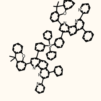 CC1(C)c2ccccc2Oc2c(-c3cc(-c4cccc([Si](c5ccccc5)(c5ccccc5)c5cccc(-c6cc(-c7cccc8c7Oc7ccccc7C8(C)C)nc7c6ccc6c(-c8ccccc8)cc(-c8ccccn8)nc67)c5)c4)c4ccc5c(-c6ccccc6)cc(-c6ccccn6)nc5c4n3)cccc21